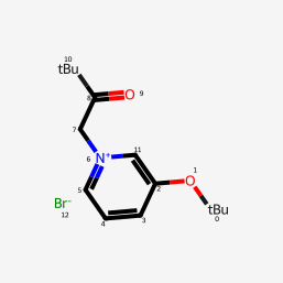 CC(C)(C)Oc1ccc[n+](CC(=O)C(C)(C)C)c1.[Br-]